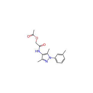 CC(=O)OCC(=O)Nc1c(C)nn(-c2cccc(C)c2)c1C